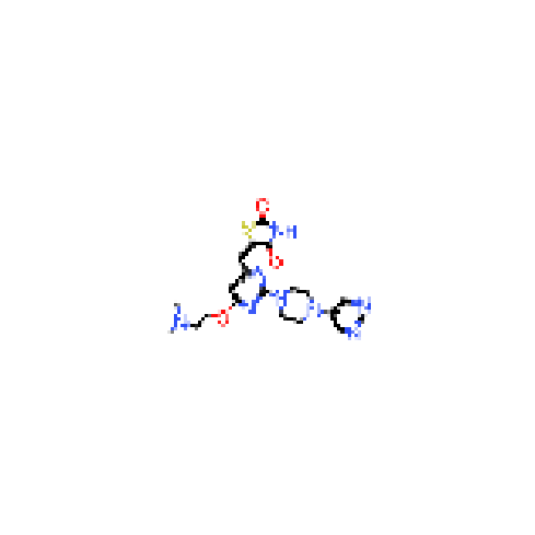 CN(C)CCOc1cc(C=C2SC(=O)NC2=O)nc(N2CCN(c3cncnc3)CC2)n1